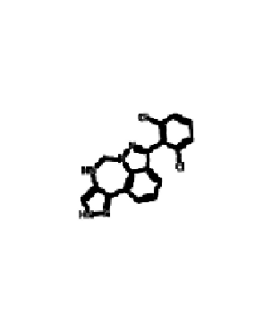 Clc1cccc(Cl)c1-c1nn2c3c(cccc13)-c1n[nH]cc1NC2